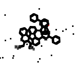 C=CC1=C(C=C)C2(c3ccccc3S1)c1cccc(-c3nc(-c4ccccc4)nc(-c4cccc(-c5ccccc5)c4)n3)c1-c1c(-c3cccc4cccnc34)cccc12